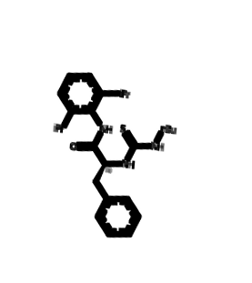 CCCCNC(=S)N[C@@H](Cc1ccccc1)C(=O)Nc1c(C(C)C)cccc1C(C)C